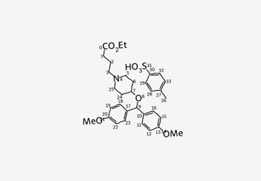 CCOC(=O)CCCN1CCC(OC(c2ccc(OC)cc2)c2ccc(OC)cc2)CC1.Cc1ccc(S(=O)(=O)O)cc1